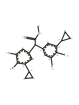 COC(=O)C(c1cc(F)c(F)c(C2CC2)c1)c1cc(F)c(F)c(C2CC2)c1